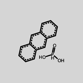 O=[PH](O)O.c1ccc2cc3ccccc3cc2c1